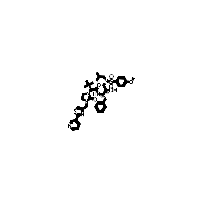 COc1ccc(S(=O)(=O)N(CC(C)C)C[C@@H](O)[C@H](Cc2ccccc2)NC(=O)[C@@H](N2CCN(Cc3csc(-c4cccnc4)n3)C2=O)C(C)(C)C)cc1